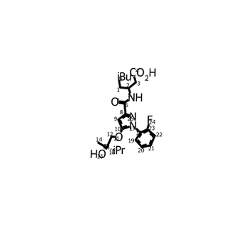 CCC(C)CC(CC(=O)O)NC(=O)c1cc(OC[C@](C)(O)C(C)C)n(-c2ccccc2F)n1